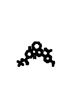 COc1ccc(-c2cc3c4c(c2)[C@@H]2CN(C(=O)OC(C)(C)C)CC[C@@H]2N4CCCS3)c(C(C)=O)c1